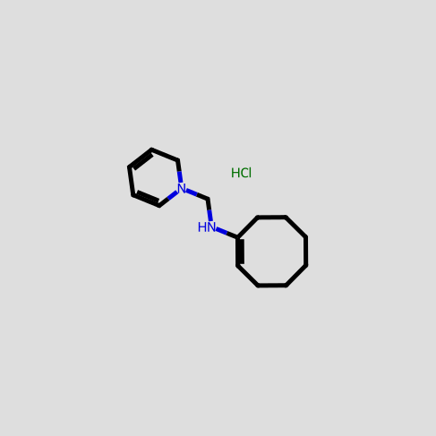 C1=CCN(CN/C2=C/CCCCCC2)C=C1.Cl